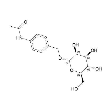 CC(=O)Nc1ccc(CO[C@H]2O[C@H](CO)[C@@H](O)[C@H](O)[C@@H]2O)cc1